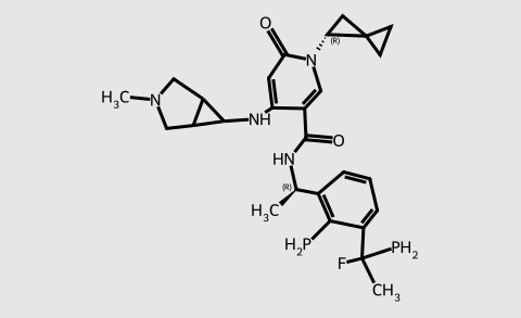 C[C@@H](NC(=O)c1cn([C@@H]2CC23CC3)c(=O)cc1NC1C2CN(C)CC21)c1cccc(C(C)(F)P)c1P